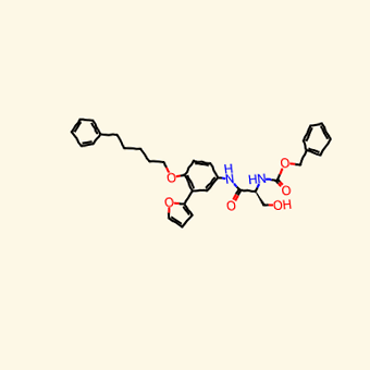 O=C(N[C@@H](CO)C(=O)Nc1ccc(OCCCCCc2ccccc2)c(-c2ccco2)c1)OCc1ccccc1